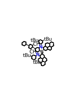 Cc1cc(-c2ccccc2)cc(C)c1-c1cc2c3c(c1)N(c1cc(C(C)(C)C)cc(C(C)(C)C)c1)c1c(cc4ccc5cccc6ccc1c4c56)B3c1cc3ccc4cccc5ccc(c1N2c1cc(C(C)(C)C)cc(C(C)(C)C)c1)c3c45